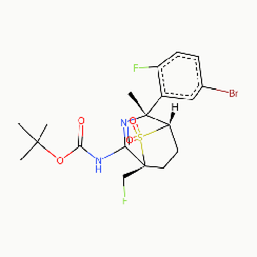 CC(C)(C)OC(=O)NC1=N[C@](C)(c2cc(Br)ccc2F)[C@@H]2CC[C@@]1(CF)S2(=O)=O